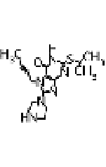 CC#CCn1c(N2CCNCC2)nc2nc(SC(C)C)[nH]c(=O)c21